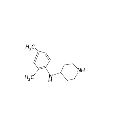 Cc1ccc(NC2CCNCC2)c(C)c1